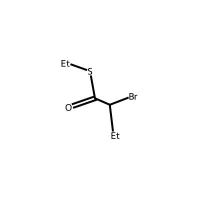 CCSC(=O)C(Br)CC